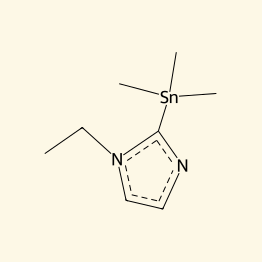 CCn1ccn[c]1[Sn]([CH3])([CH3])[CH3]